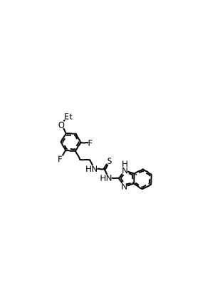 CCOc1cc(F)c(CCNC(=S)Nc2nc3ccccc3[nH]2)c(F)c1